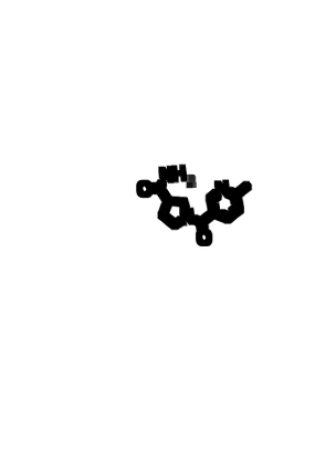 Cc1ccc(C(=O)N2CCC(C(N)=O)C2)cn1